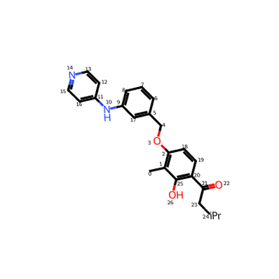 Cc1c(OCc2cccc(Nc3ccncc3)c2)ccc(C(=O)CC(C)C)c1O